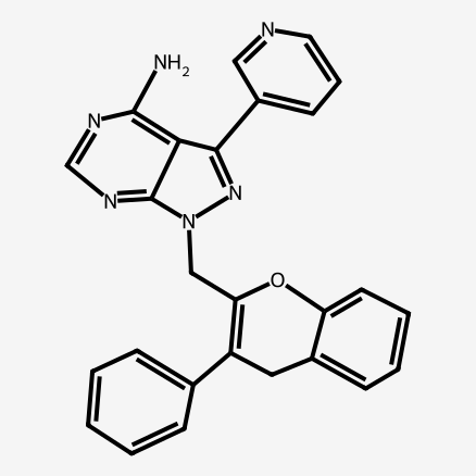 Nc1ncnc2c1c(-c1cccnc1)nn2CC1=C(c2ccccc2)Cc2ccccc2O1